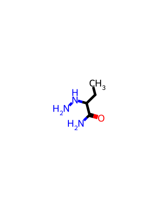 CCC(NN)C(N)=O